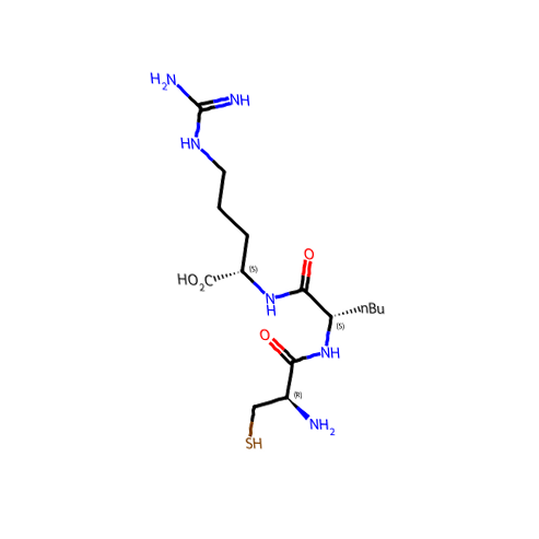 CCCC[C@H](NC(=O)[C@@H](N)CS)C(=O)N[C@@H](CCCNC(=N)N)C(=O)O